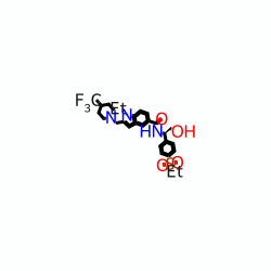 CCn1c(CN2CCC(C(F)(F)F)CC2)cc2cc(C(=O)N[C@@H](CO)c3ccc(S(=O)(=O)CC)cc3)ccc21